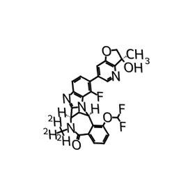 [2H]C([2H])([2H])N1C(=O)c2cccc(OC(F)F)c2[C@H]2C[C@@H]1c1nc3ccc(-c4cnc5c(c4)OC[C@@]5(C)O)c(F)c3n12